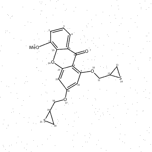 COc1cccc2c(=O)c3c(OCC4CS4)cc(OCC4CS4)cc3oc12